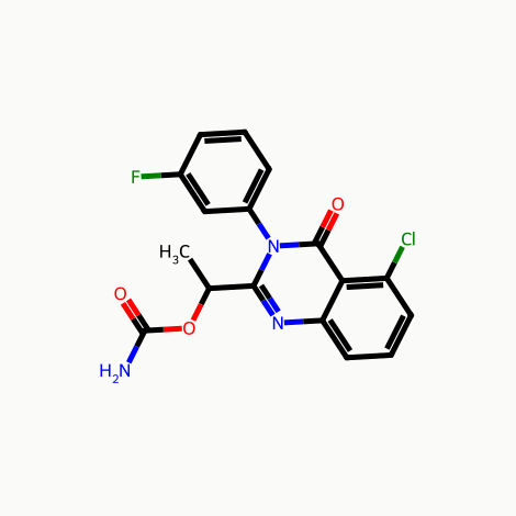 CC(OC(N)=O)c1nc2cccc(Cl)c2c(=O)n1-c1cccc(F)c1